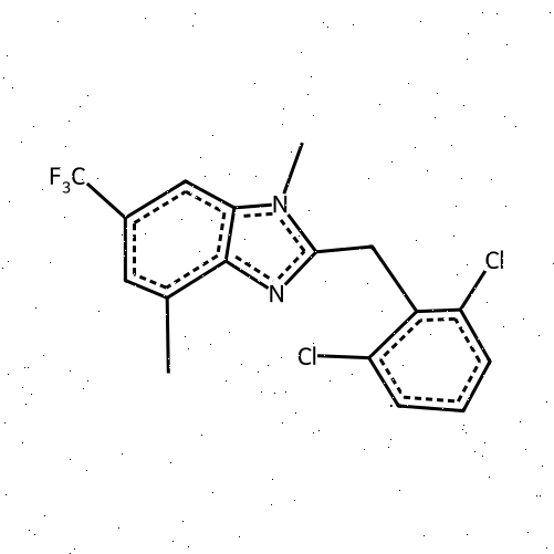 Cc1cc(C(F)(F)F)cc2c1nc(Cc1c(Cl)[c]ccc1Cl)n2C